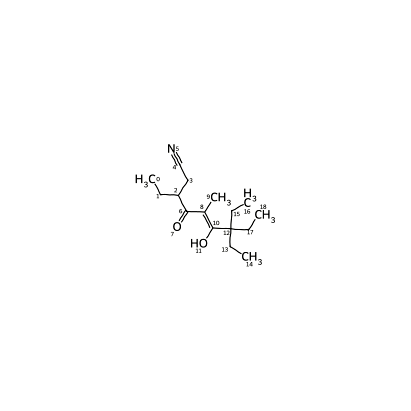 CCC(CC#N)C(=O)/C(C)=C(\O)C(CC)(CC)CC